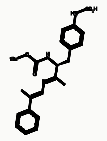 C/C(=C\N=C(/C)[C@H](Cc1ccc(NS(=O)(=O)O)cc1)NC(=O)OC(C)(C)C)c1ccccc1